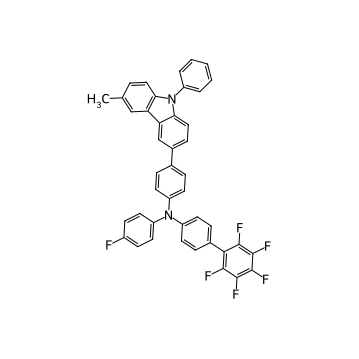 Cc1ccc2c(c1)c1cc(-c3ccc(N(c4ccc(F)cc4)c4ccc(-c5c(F)c(F)c(F)c(F)c5F)cc4)cc3)ccc1n2-c1ccccc1